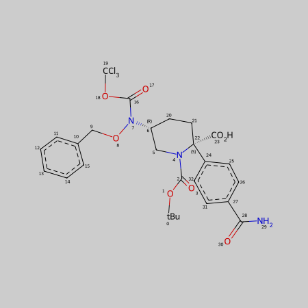 CC(C)(C)OC(=O)N1C[C@H](N(OCc2ccccc2)C(=O)OC(Cl)(Cl)Cl)CC[C@@]1(C(=O)O)c1ccc(C(N)=O)cc1